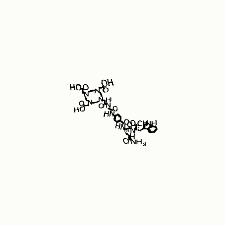 CC(=O)[C@H](Cc1c[nH]c2ccccc12)NC(=O)[C@H](CCC(N)=O)NC(=O)c1ccc(NC(=O)CNC(=O)CN2CCN(CC(=O)O)CCN(CC(=O)O)CCN(CC(=O)O)CC2)cc1